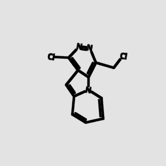 ClCc1nnc(Cl)c2cc3ccccn3c12